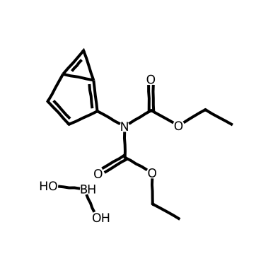 CCOC(=O)N(C(=O)OCC)c1ccc2cc1-2.OBO